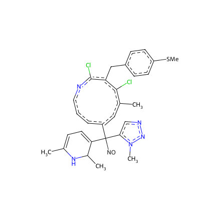 CSc1ccc(Cc2c(Cl)ncccc(C(N=O)(C3=CC=C(C)NC3C)c3cnnn3C)cc(C)c2Cl)cc1